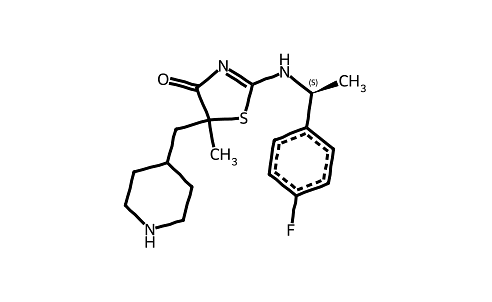 C[C@H](NC1=NC(=O)C(C)(CC2CCNCC2)S1)c1ccc(F)cc1